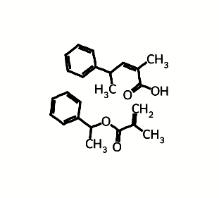 C=C(C)C(=O)OC(C)c1ccccc1.CC(=CC(C)c1ccccc1)C(=O)O